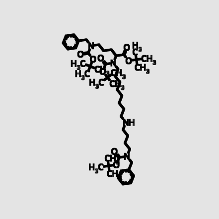 CC(C)(C)OC(=O)C(CCCN(Cc1ccccc1)C(=O)OC(C)(C)C)N(CCCCCCCCNCCCCN(Cc1ccccc1)C(=O)OC(C)(C)C)C(=O)OC(C)(C)C